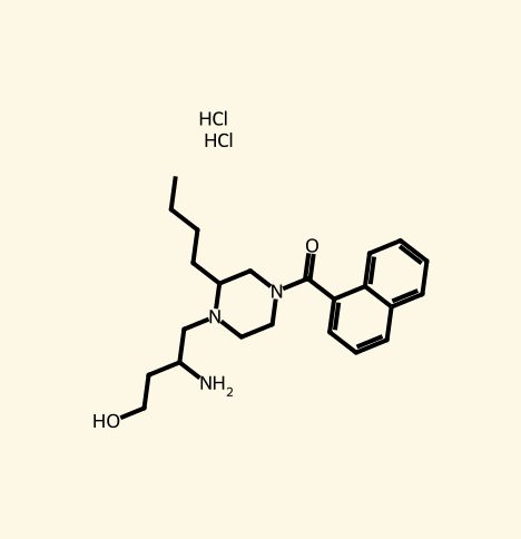 CCCCC1CN(C(=O)c2cccc3ccccc23)CCN1CC(N)CCO.Cl.Cl